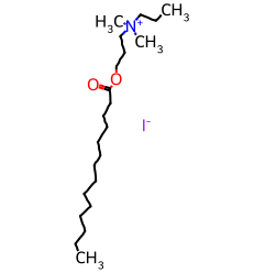 CCCCCCCCCCCCCC(=O)OCCC[N+](C)(C)CCC.[I-]